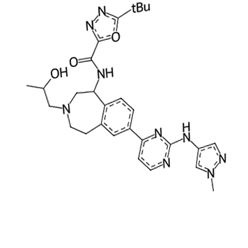 CC(O)CN1CCc2cc(-c3ccnc(Nc4cnn(C)c4)n3)ccc2C(NC(=O)c2nnc(C(C)(C)C)o2)C1